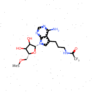 CSOC[C@H]1O[C@@H](n2cc(CCCNC(=O)C(F)(F)F)c3c(N)ncnc32)C(O)C1O